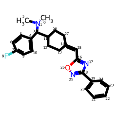 CN(C)C(c1ccc(F)cc1)C1CCC(=Cc2nc(-c3ccccc3)no2)CC1